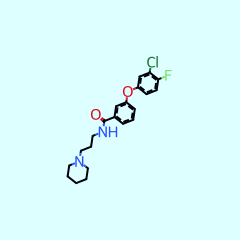 O=C(NCCCN1CCCCC1)c1cccc(Oc2ccc(F)c(Cl)c2)c1